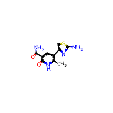 Cc1[nH]c(=O)c(C(N)=O)cc1-c1csc(N)n1